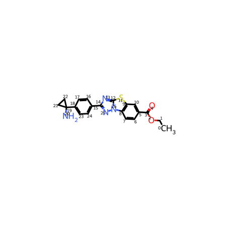 CCOC(=O)c1ccc2c(c1)sc1nc(-c3ccc(C4(N)CC4)cc3)nn12